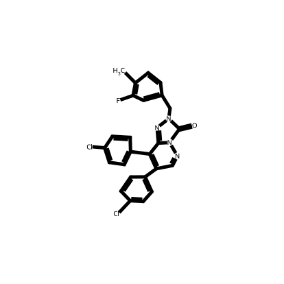 Cc1ccc(Cn2nc3c(-c4ccc(Cl)cc4)c(-c4ccc(Cl)cc4)cnn3c2=O)cc1F